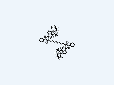 CN[C@@H](C)C(=O)N[C@H](C(=O)N1CCC[C@H]1C(=O)N[C@H](C(=O)NCCCCCCCCNC(=O)[C@@H](NC(=O)[C@@H]1CCCN1C(=O)[C@@H](NC(=O)[C@H](C)N(C)NC)C(C)(C)C)C1CCCCC1)C1CCCCC1)C(C)(C)C